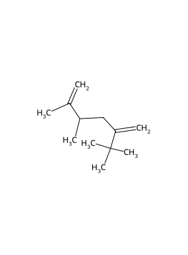 C=C(C)C(C)CC(=C)C(C)(C)C